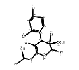 CCCC1NC(SC(O)CC)=C(C#N)C(c2ccc(Cl)cc2Cl)C1(CC)C(=O)O